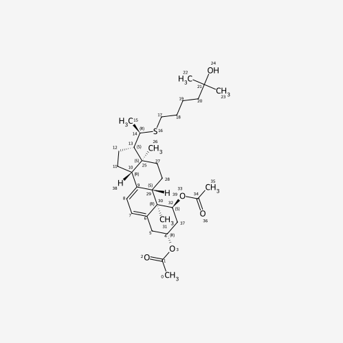 CC(=O)O[C@@H]1CC2=CC=C3[C@@H]4CC[C@H]([C@@H](C)SCCCCC(C)(C)O)[C@@]4(C)CC[C@@H]3[C@@]2(C)[C@@H](OC(C)=O)C1